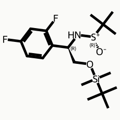 CC(C)(C)[S@+]([O-])N[C@@H](CO[Si](C)(C)C(C)(C)C)c1ccc(F)cc1F